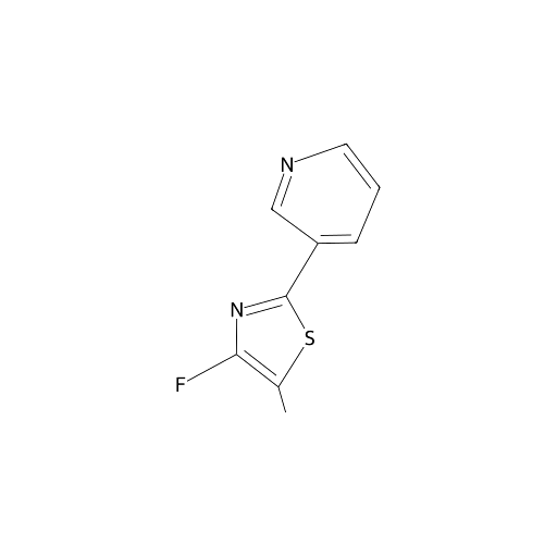 Cc1sc(-c2cccnc2)nc1F